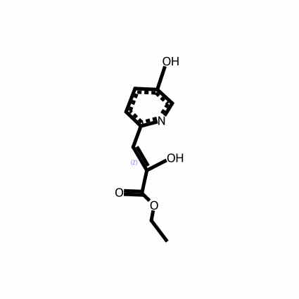 CCOC(=O)/C(O)=C/c1ccc(O)cn1